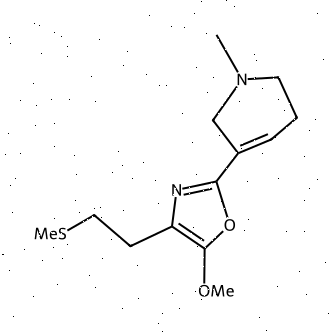 COc1oc(C2=CCCN(C)C2)nc1CCSC